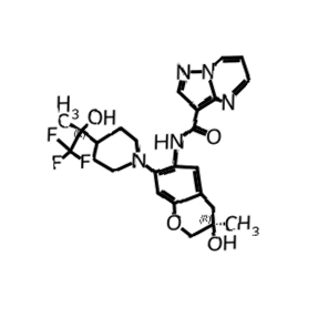 C[C@]1(O)COc2cc(N3CCC([C@@](C)(O)C(F)(F)F)CC3)c(NC(=O)c3cnn4cccnc34)cc2C1